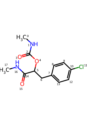 CNC(=O)OC(Cc1ccc(Cl)cc1)C(=O)NC